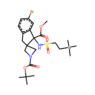 COC(=O)C1(NS(=O)(=O)CC[Si](C)(C)C)c2cc(Br)ccc2CC12CN(C(=O)OC(C)(C)C)C2